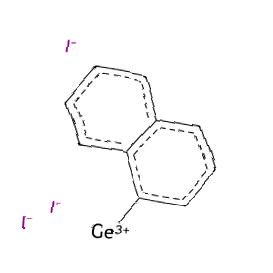 [Ge+3][c]1cccc2ccccc12.[I-].[I-].[I-]